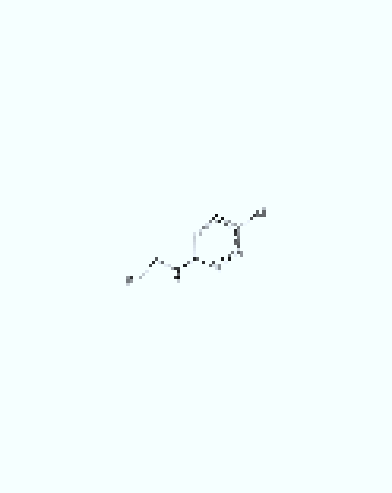 CC(C)CNc1ccc(Cl)nn1